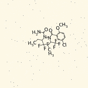 CCC(N(C(N)=O)N(C(=O)c1cc(Cl)ccc1OC)C(CC)C(F)(F)F)C(F)(F)F